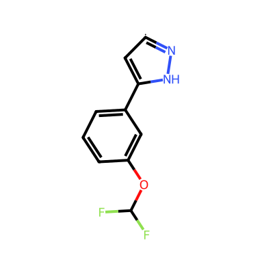 FC(F)Oc1cccc(-c2c[c]n[nH]2)c1